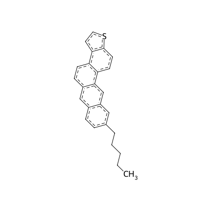 CCCCCc1ccc2cc3ccc4c5ccsc5ccc4c3cc2c1